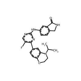 CC(C)N1CCOc2ccc(-c3nc(Nc4ccc5c(c4)C(=O)NC5)ncc3F)cc21